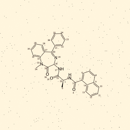 C[C@H](NC(=O)c1cccc2ccccc12)C(=O)NC1N=C(c2ccccc2)c2ccccc2N(C)C1=O